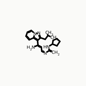 C=C(/N=C\C=C(/N)c1c(CC(C)C)nn2ccccc12)NC1CCCC1